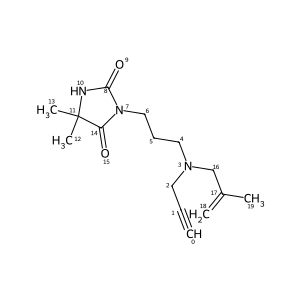 C#CCN(CCCN1C(=O)NC(C)(C)C1=O)CC(=C)C